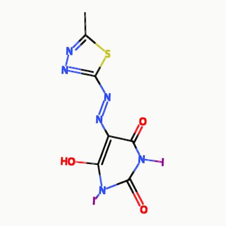 Cc1nnc(N=Nc2c(O)n(I)c(=O)n(I)c2=O)s1